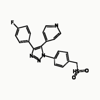 O=[SH](=O)Cc1ccc(-n2nnc(-c3ccc(F)cc3)c2-c2ccncc2)cc1